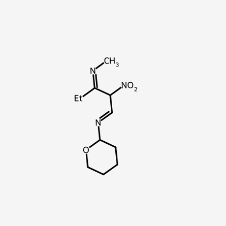 CC/C(=N/C)C(/C=N/C1CCCCO1)[N+](=O)[O-]